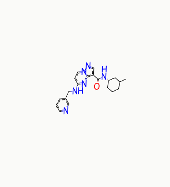 CC1CCC[C@H](NC(=O)c2cnn3ccc(NCc4cccnc4)nc23)C1